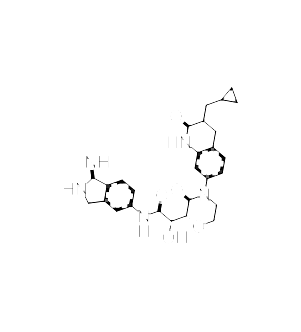 N=C1NCc2cc(NC(=O)[C@H](O)[C@H]3OCCN(c4ccc5c(c4)NC(=O)C(CC4CC4)C5)C3=O)ccc21